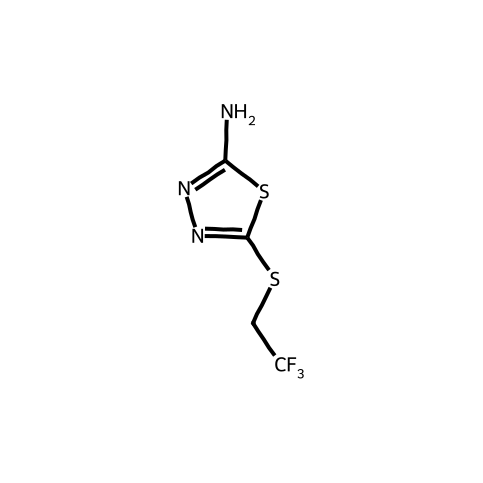 Nc1nnc(SCC(F)(F)F)s1